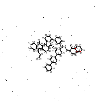 C=C/C=C(/C)C(=CCN(c1ccc(-c2ccc(-c3ccccc3)cc2)cc1)c1cccc(-c2cccc3c2c(C)c(C/C=C\CC(C)c2ccccc2)n3/C=C/C=C\C=C/C)c1)/C=C\c1ccccc1